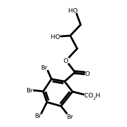 O=C(O)c1c(Br)c(Br)c(Br)c(Br)c1C(=O)OCC(O)CO